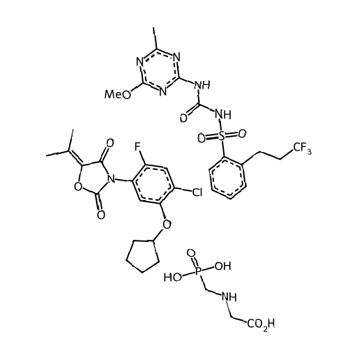 CC(C)=C1OC(=O)N(c2cc(OC3CCCC3)c(Cl)cc2F)C1=O.COc1nc(C)nc(NC(=O)NS(=O)(=O)c2ccccc2CCC(F)(F)F)n1.O=C(O)CNCP(=O)(O)O